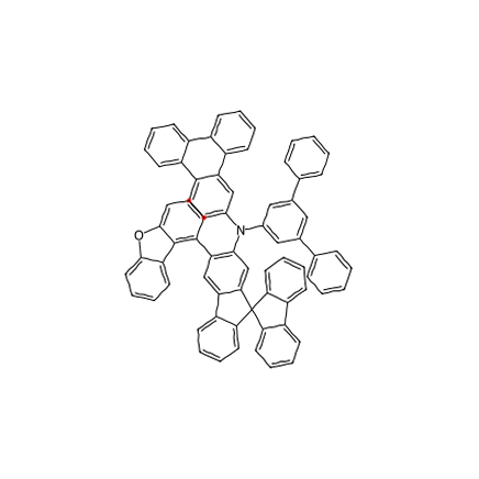 c1ccc(-c2cc(-c3ccccc3)cc(N(c3ccc4c5ccccc5c5ccccc5c4c3)c3cc4c(cc3-c3cccc5oc6ccccc6c35)-c3ccccc3C43c4ccccc4-c4ccccc43)c2)cc1